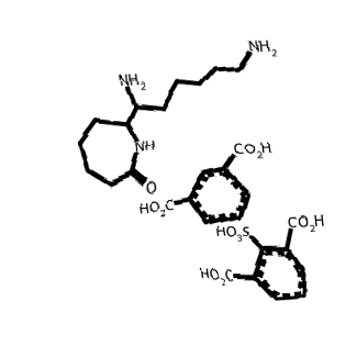 NCCCCCC(N)C1CCCCC(=O)N1.O=C(O)c1cccc(C(=O)O)c1.O=C(O)c1cccc(C(=O)O)c1S(=O)(=O)O